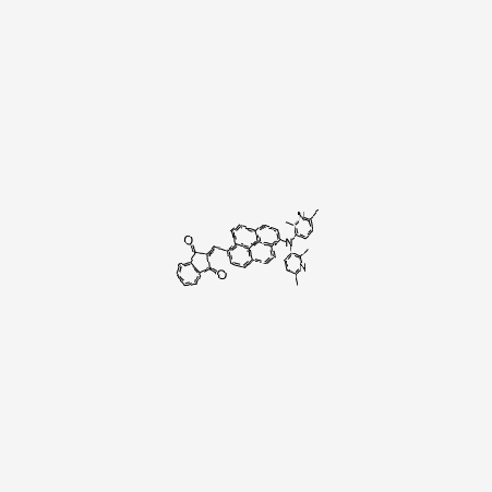 Cc1ccc(N(c2ccc(C)nc2C)c2ccc3ccc4c(C=C5C(=O)c6ccccc6C5=O)ccc5ccc2c3c54)c(C)n1